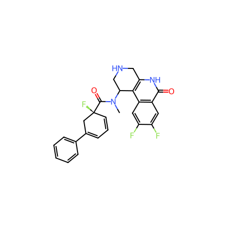 CN(C(=O)[C@]1(F)C=CC=C(c2ccccc2)C1)C1CNCc2[nH]c(=O)c3cc(F)c(F)cc3c21